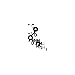 CC1C=CC(NC(=O)c2cccc(C(F)(F)F)c2)=CC1C(=O)Nc1cnc(N)c(Cl)c1